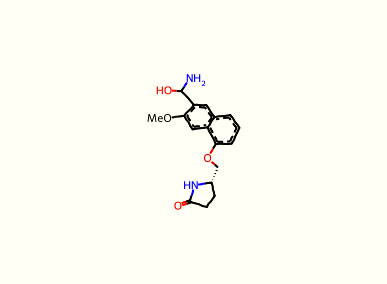 COc1cc2c(OC[C@@H]3CCC(=O)N3)cccc2cc1C(N)O